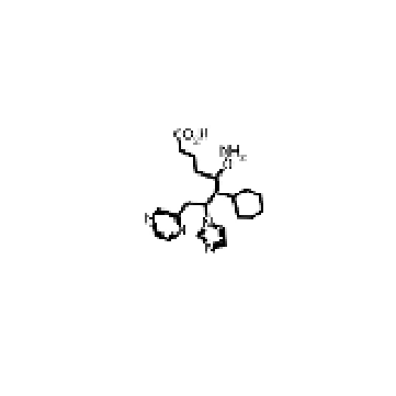 NOC(CCCC(=O)O)=C(C1CCCCC1)C(Cc1cnccn1)n1ccnc1